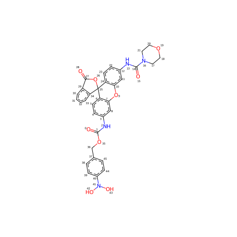 O=C(Nc1ccc2c(c1)Oc1cc(NC(=O)N3CCOCC3)ccc1C21OC(=O)c2ccccc21)OCc1ccc(N(O)O)cc1